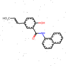 O=C(O)/C=C/c1ccc(O)c(C(=O)Nc2cccc3ccccc23)c1